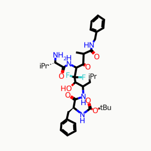 CC(C)CC(NC(=O)[C@H](Cc1ccccc1)NC(=O)OC(C)(C)C)C(O)C(F)(F)C(NC(=O)[C@@H](N)C(C)C)C(=O)C(C)C(=O)NCc1ccccc1